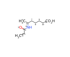 C=CC(=O)NC(C)CCCCC(=O)O